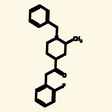 CC1CC(C(=O)Cc2ccccc2F)CCN1Cc1ccccc1